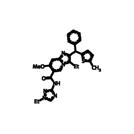 CCc1c(C(c2ccccc2)c2ccc(C)s2)nc2cc(OC)c(C(=O)Nc3ncn(CC)n3)cn12